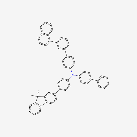 CC1(C)c2ccccc2-c2ccc(-c3ccc(N(c4ccc(-c5ccccc5)cc4)c4ccc(-c5cccc(-c6cccc7ccccc67)c5)cc4)cc3)cc21